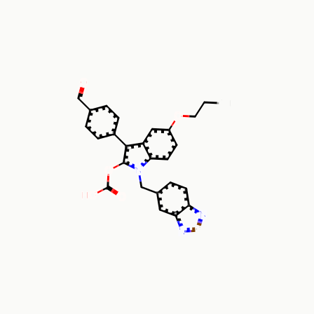 CCCOc1ccc2c(c1)c(-c1ccc(C=O)cc1)c(OC(=O)O)n2Cc1ccc2nsnc2c1